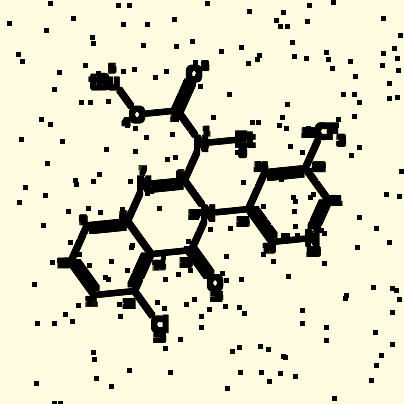 CCN(C(=O)OC(C)(C)C)c1nc2cccc(Cl)c2c(=O)n1-c1cncc(C(F)(F)F)c1